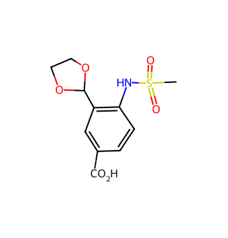 CS(=O)(=O)Nc1ccc(C(=O)O)cc1C1OCCO1